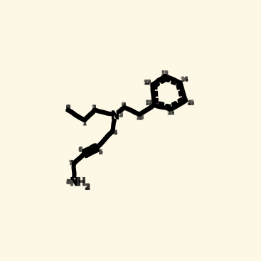 CCCN(CC#CCN)CCc1ccccc1